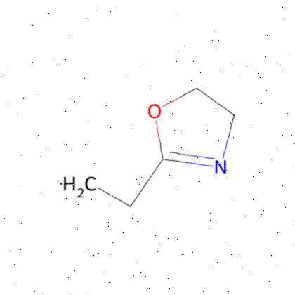 [CH2]CC1=NCCO1